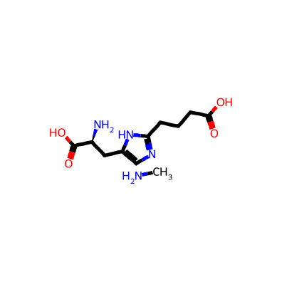 CN.N[C@@H](Cc1cnc(CCCC(=O)O)[nH]1)C(=O)O